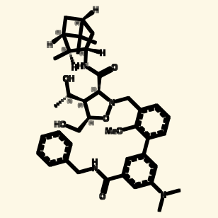 COc1c(CN2O[C@@H](CO)[C@@H]([C@H](C)O)[C@H]2C(=O)N[C@H]2C[C@H]3C[C@@H]([C@@H]2C)C3(C)C)cccc1-c1cc(C(=O)NCc2ccccc2)cc(N(C)C)c1